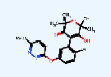 CCc1ccc(Oc2ccc(OC)nn2)cc1C1=C(O)C(C)(C)OC(C)(C)C1=O